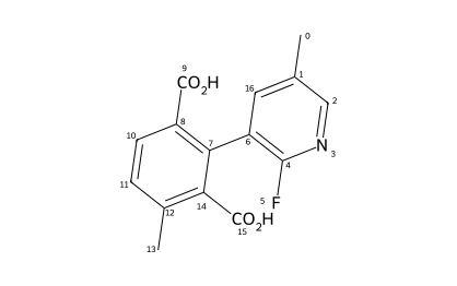 Cc1cnc(F)c(-c2c(C(=O)O)ccc(C)c2C(=O)O)c1